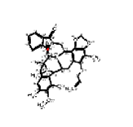 C=CCOc1c(C)c2c(c3c1CC1C4c5c(cc(C)c(OC)c5O)C[C@H]([C@H](C#N)N1[C@H]3CN1C(=O)c3ccccc3C1=O)N4C)OCO2